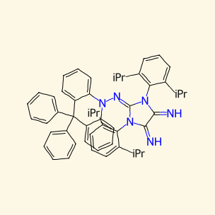 CC(C)c1cccc(C(C)C)c1N1C(=N)C(=N)N(c2c(C(C)C)cccc2C(C)C)C1=NN1c2ccccc2C(c2ccccc2)(c2ccccc2)c2ccccc21